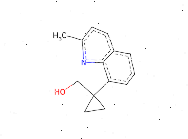 Cc1ccc2cccc(C3(CO)CC3)c2n1